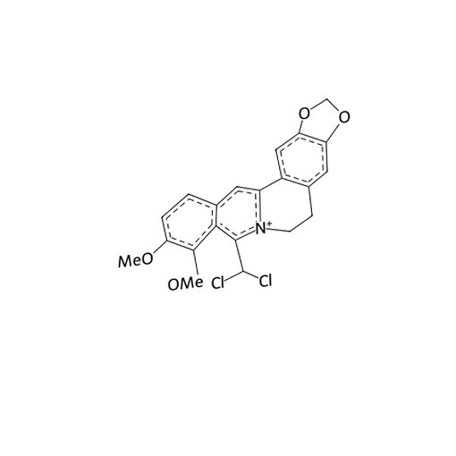 COc1ccc2cc3[n+](c(C(Cl)Cl)c2c1OC)CCc1cc2c(cc1-3)OCO2